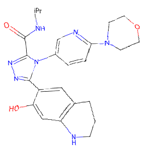 CC(C)NC(=O)c1nnc(-c2cc3c(cc2O)NCCC3)n1-c1ccc(N2CCOCC2)nc1